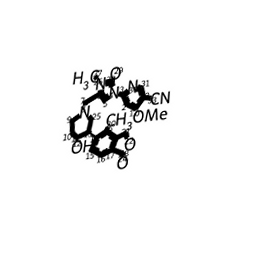 COc1cc(-n2cc(CN3CC[C@@H](O)[C@H](c4ccc5c(c4C)COC5=O)C3)n(C)c2=O)ncc1C#N